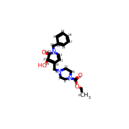 CCOC(=O)N1CCN(Cc2ccn(Cc3ccccc3)c(=O)c2O)CC1